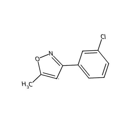 Cc1[c]c(-c2cccc(Cl)c2)no1